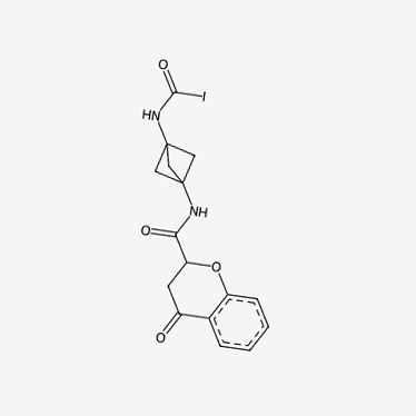 O=C(I)NC12CC(NC(=O)C3CC(=O)c4ccccc4O3)(C1)C2